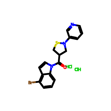 Cl.Cl.O=C(C1CSN(c2cccnc2)C1)n1ccc2c(Br)cccc21